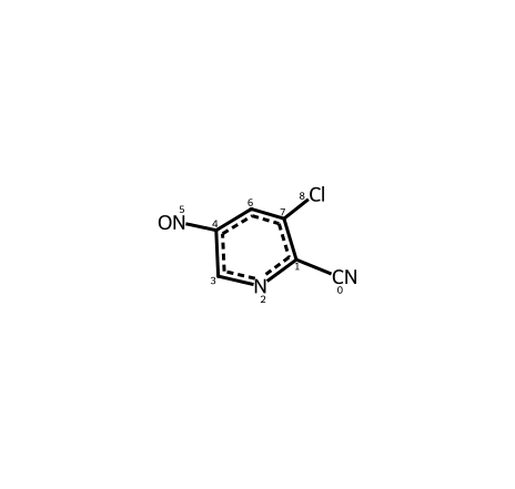 N#Cc1ncc(N=O)cc1Cl